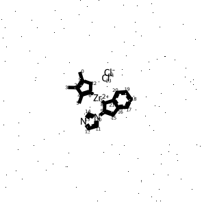 CC1=C(C)C(C)=[C]([Zr+2][CH]2C(n3ccnc3)=Cc3ccccc32)C1.[Cl-].[Cl-]